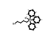 BrCCCCP(Br)(c1ccccc1)(c1ccccc1)c1ccccc1